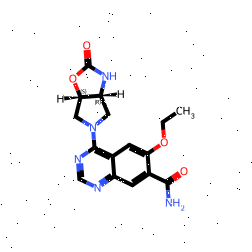 CCOc1cc2c(N3C[C@@H]4OC(=O)N[C@@H]4C3)ncnc2cc1C(N)=O